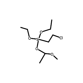 CCO[Si](CCCl)(OCC)OC(C)OC